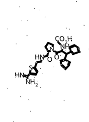 N=C(N)c1ccc(CCNC(=O)C2CCCN2C(=O)C(NCC(=O)O)C(c2ccccc2)c2ccccc2)s1